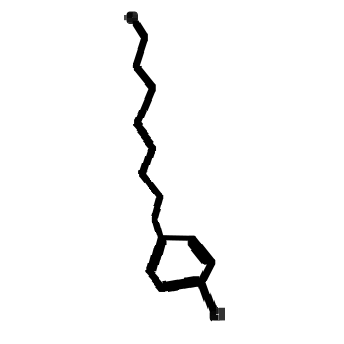 [O]CCCCCCCCc1ccc(Cl)cc1